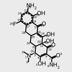 CN(C)[C@@H]1C(O)=C(C(N)=O)C(=O)[C@@]2(O)C(O)=C3C(=O)c4c(O)c(N)cc(F)c4CC3CC12